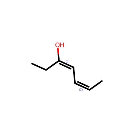 C/C=C\C=C(\O)CC